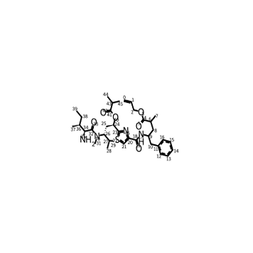 C=CCOC(=O)C(C)CC(Cc1ccccc1)NC(=O)c1csc([C@@H](C[C@H](C(C)C)N(C)C(=O)[C@@H](N)[C@@H](C)CC)OC(=O)C(C)C)n1